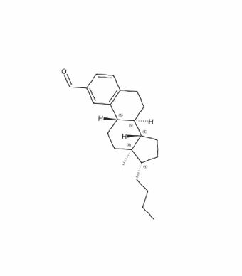 CCCC[C@H]1CC[C@H]2[C@@H]3CCc4ccc(C=O)cc4[C@H]3CC[C@]12C